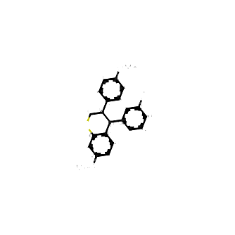 COc1ccc(C2CSc3cc(OC)ccc3C2c2cccc(C=O)c2)cc1